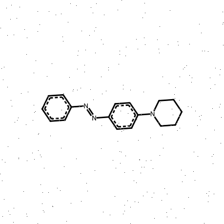 c1ccc(/N=N/c2ccc(N3CCCCC3)cc2)cc1